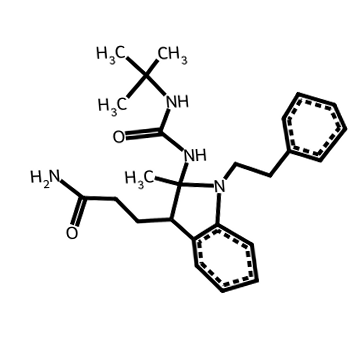 CC(C)(C)NC(=O)NC1(C)C(CCC(N)=O)c2ccccc2N1CCc1ccccc1